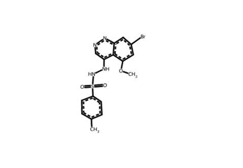 COc1cc(Br)cc2nncc(NNS(=O)(=O)c3ccc(C)cc3)c12